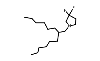 CCCCCCC(CCCCCC)CN1CCC(F)(F)C1